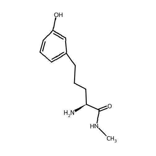 CNC(=O)[C@@H](N)CCCc1cccc(O)c1